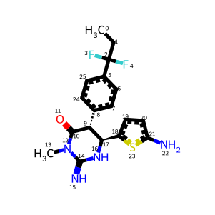 CCC(F)(F)c1ccc([C@H]2C(=O)N(C)C(=N)N[C@@H]2c2ccc(N)s2)cc1